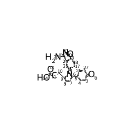 COc1ccc(-c2ccc(CCC(=O)O)n2-c2ccc3onc(N)c3c2)cc1